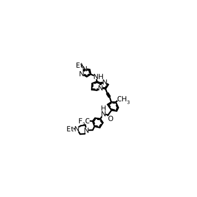 CCN1CCN(Cc2ccc(NC(=O)c3ccc(C)c(C#Cc4cnc5c(Nc6cnn(CC)c6)cccn45)c3)cc2C(F)(F)F)CC1